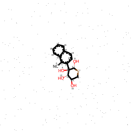 N#Cc1c([C@]2(O)[C@H](O)SC[C@@H](O)[C@@H]2O)ccc2ccccc12